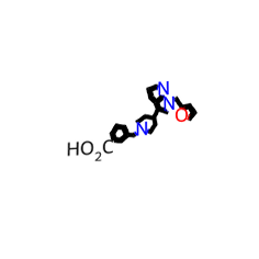 O=C(O)c1cccc(CN2CCC(c3cn(Cc4ccco4)c4ncccc34)CC2)c1